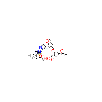 CC(=O)c1ccc(CC(=O)O)c(OCc2cc(-c3ccnc(CN[S+]([O-])C(C)(C)C)c3F)c3occc3c2)c1